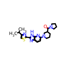 CC(C)c1csc(-c2nc3ccc(N4CCCC(C(=O)N5CCCC5)C4)nc3[nH]2)n1